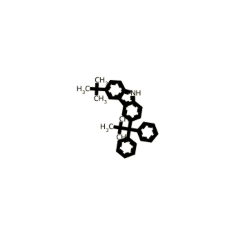 CC(C)(C)c1ccc2[nH]c3ccc(C(c4ccccc4)(c4ccccc4)C(C)(C)C)cc3c2c1